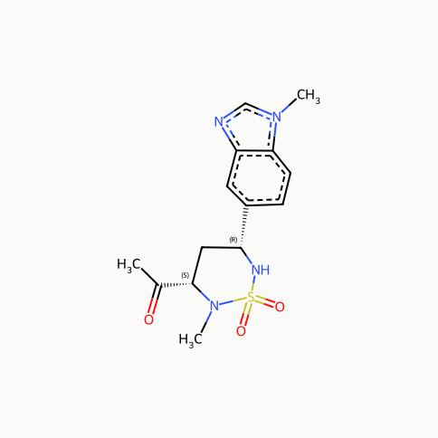 CC(=O)[C@@H]1C[C@H](c2ccc3c(c2)ncn3C)NS(=O)(=O)N1C